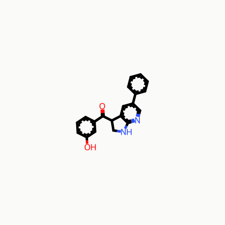 O=C(c1cccc(O)c1)C1CNc2ncc(-c3ccccc3)cc21